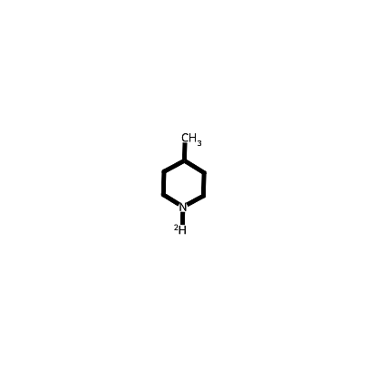 [2H]N1CCC(C)CC1